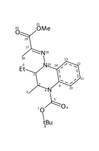 CCC1C(C)N(C(=O)OC(C)(C)C)c2ccccc2N1/N=C(\C)C(=O)OC